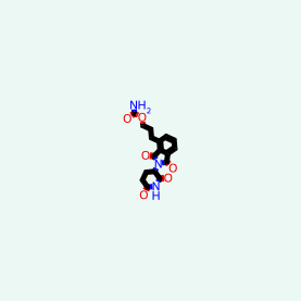 NC(=O)OCCCc1cccc2c1C(=O)N(C1CCC(=O)NC1=O)C2=O